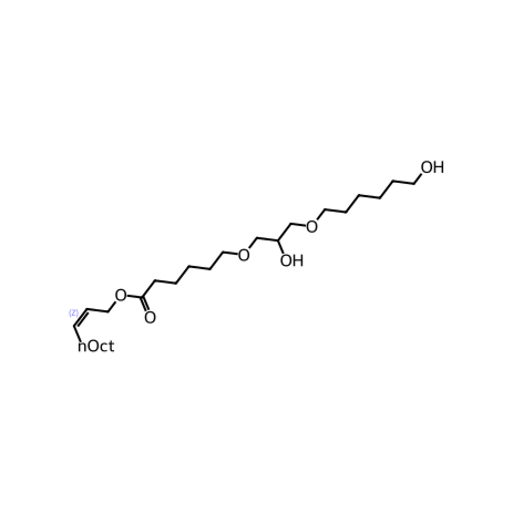 CCCCCCCC/C=C\COC(=O)CCCCCOCC(O)COCCCCCCO